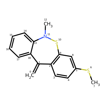 C=C1c2ccc(SC)cc2SN(C)c2ccccc21